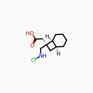 O=C(O)C[C@@]1(CNCl)C[C@@H]2CCCC[C@@H]21